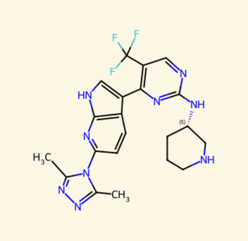 Cc1nnc(C)n1-c1ccc2c(-c3nc(N[C@H]4CCCNC4)ncc3C(F)(F)F)c[nH]c2n1